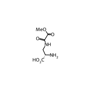 COC(=O)C(=O)NC[C@H](N)C(=O)O